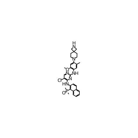 COc1cc(N2CCC3(CC2)CNC3)c(C)cc1Nc1ncc(Cl)c(Nc2ccc3ccccc3c2P(C)(C)=O)n1